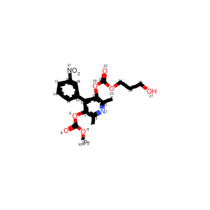 Cc1nc(C)c(OC(=O)OC(C)C)c(-c2cccc([N+](=O)[O-])c2)c1OC(=O)OCCCO